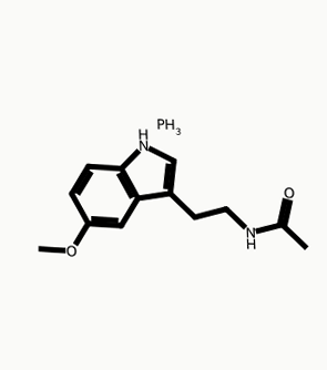 COc1ccc2[nH]cc(CCNC(C)=O)c2c1.P